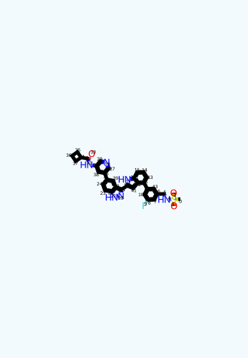 CS(=O)(=O)NCc1cc(F)cc(-c2cccc3[nH]c(-c4n[nH]c5ccc(-c6cncc(NC(=O)C7CCC7)c6)cc45)cc23)c1